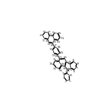 c1ccc(-n2c3ccccc3c3cc(-c4ccc(-c5cc6ccccc6c6ccccc56)cc4)c4ccccc4c32)cc1